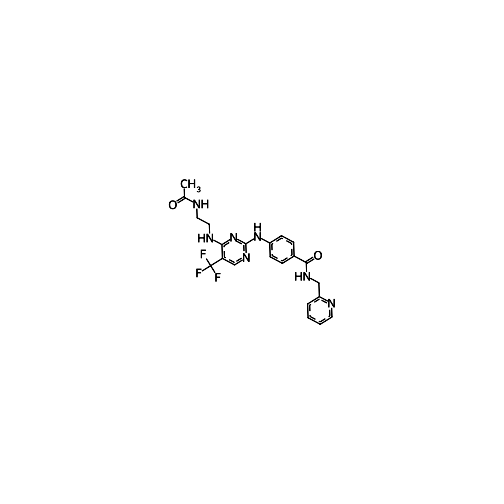 CC(=O)NCCNc1nc(Nc2ccc(C(=O)NCc3ccccn3)cc2)ncc1C(F)(F)F